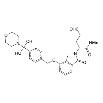 CNC(=O)C(CCC=O)N1Cc2c(OCc3ccc(C(O)(O)N4CCOCC4)cc3)cccc2C1=O